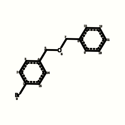 Brc1ccc([CH]OCc2ccccc2)cc1